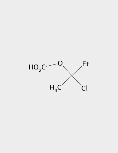 CCC(C)(Cl)OC(=O)O